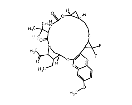 CC[C@@H]1[C@@H]2CN(C(=O)C(C(C)(C)C)NC(=O)O[C@@H]3C[C@H]3CCCC3C(c4nc5ccc(OC)cc5nc4O2)C3(F)F)[C@@H]1C(C)=O